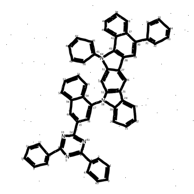 c1ccc(-c2nc(-c3ccccc3)nc(-c3cc(-n4c5ccccc5c5cc6c7cc(-c8ccccc8)c8ccccc8c7n(-c7ccccc7)c6cc54)c4ccccc4c3)n2)cc1